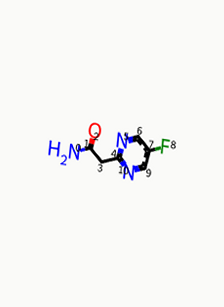 NC(=O)Cc1ncc(F)cn1